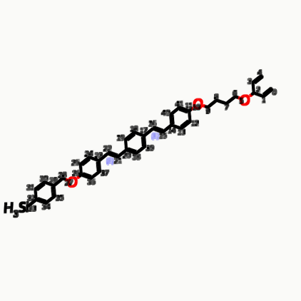 C=CC(C=C)OCCCCOc1ccc(/C=C/c2ccc(/C=C/c3ccc(OCc4ccc([SiH3])cc4)cc3)cc2)cc1